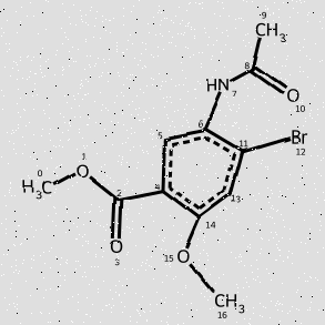 COC(=O)c1cc(NC(C)=O)c(Br)cc1OC